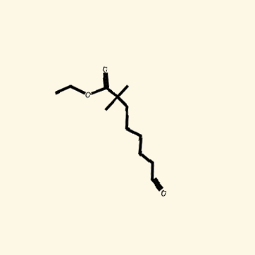 CCOC(=O)C(C)(C)CCCCCC=O